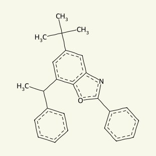 CC(c1ccccc1)c1cc(C(C)(C)C)cc2nc(-c3ccccc3)oc12